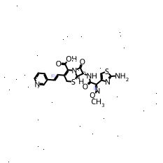 CO/N=C(\C(=O)N[C@@H]1C(=O)N2C(C(=O)O)=C(/C=C/c3cccnc3)CS[C@H]12)c1csc(N)n1